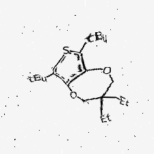 CCC1(CC)COc2c(C(C)(C)C)sc(C(C)(C)C)c2OC1